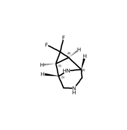 FC1(F)[C@@H]2[C@H]1[C@H]1CNC[C@@H]2N1